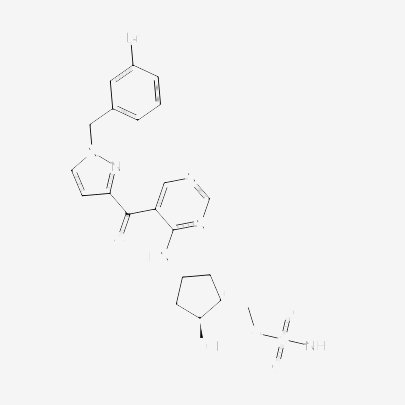 NS(=O)(=O)OC[C@H]1C[C@@H](Nc2ncncc2C(=O)c2ccn(Cc3cccc(Br)c3)n2)C[C@@H]1O